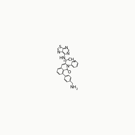 C[C@H](Nc1ncnc2scnc12)c1cc2cccc(-c3ccc(CN)cc3)c2c(=O)n1-c1ccccc1